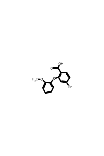 COc1ccccc1Sc1cc(Br)ccc1C(=O)O